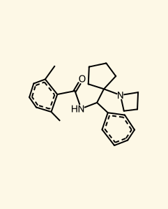 Cc1cccc(C)c1C(=O)NC(c1ccccc1)C1(N2CCC2)CCCC1